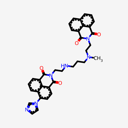 CN(CCCNCCN1C(=O)c2cccc3c(-n4ccnc4)ccc(c23)C1=O)CCN1C(=O)c2cccc3cccc(c23)C1=O